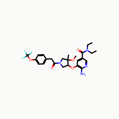 CCN(CC)C(=O)c1cnc(N)c(OC2CN(C(=O)Cc3ccc(OC(F)(F)F)cc3)CC2(C)OC)c1